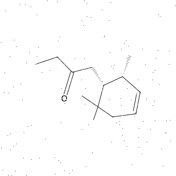 CCC(=O)C[C@@H]1[C@H](C)C=CCC1(C)C